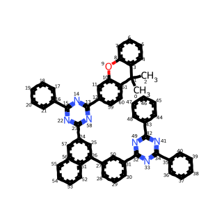 CC1(C)c2ccccc2Oc2cc(-c3nc(-c4ccccc4)nc(-c4cc(-c5cccc(-c6nc(-c7ccccc7)nc(-c7ccccc7)n6)c5)c5ccccc5c4)n3)ccc21